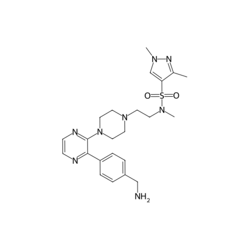 Cc1nn(C)cc1S(=O)(=O)N(C)CCN1CCN(c2nccnc2-c2ccc(CN)cc2)CC1